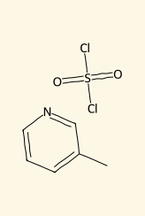 Cc1cccnc1.O=S(=O)(Cl)Cl